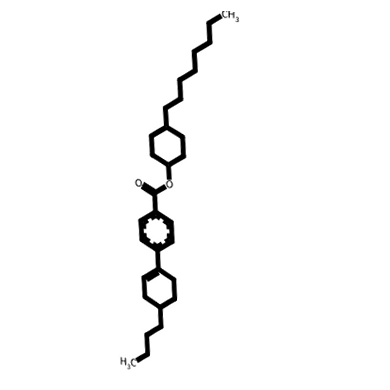 CCCCCCCCC1CCC(OC(=O)c2ccc(C3=CCC(CCCC)CC3)cc2)CC1